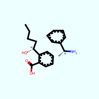 CCCC[C@@H](O)c1ccccc1C(=O)O.C[C@@H](N)c1ccccc1